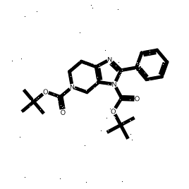 CC(C)(C)OC(=O)N1CCc2nc(-c3ccccc3)n(C(=O)OC(C)(C)C)c2C1